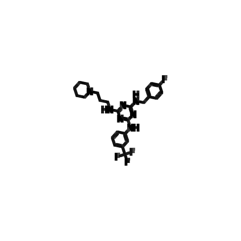 Fc1ccc(CNc2nc(NCCCN3CCCCC3)nc(Nc3cccc(C(F)(F)F)c3)n2)cc1